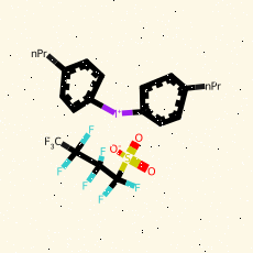 CCCc1ccc([I+]c2ccc(CCC)cc2)cc1.O=S(=O)([O-])C(F)(F)C(F)(F)C(F)(F)C(F)(F)F